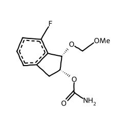 COCO[C@H]1c2c(F)cccc2C[C@H]1OC(N)=O